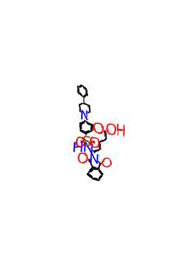 O=C(O)CCCC(NS(=O)(=O)c1ccc(N2CCC(c3ccccc3)CC2)cc1)N1C(=O)c2ccccc2C1=O